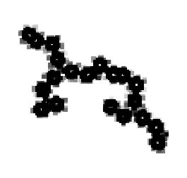 c1ccc(-c2cccc(N(c3ccc(-c4cccc(-c5ccc6cc(-c7cccc8c7oc7ccc(-c9ccc(N(c%10ccc(-c%11cccc(-c%12ccc%13ccccc%13c%12)c%11)cc%10)c%10ccc(-c%11cccc(-n%12c%13ccccc%13c%13ccccc%13%12)c%11)cc%10)cc9)cc78)ccc6c5)c4)cc3)c3ccc(-c4ccc5oc6ccccc6c5c4)cc3)c2)cc1